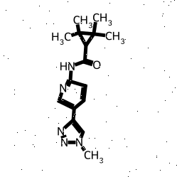 Cn1cc(-c2ccc(NC(=O)C3C(C)(C)C3(C)C)nc2)nn1